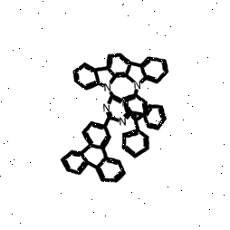 c1ccc(-c2ccc(-n3c4ccccc4c4ccc5c6ccccc6n(-c6nc(-c7ccccc7)nc(-c7ccc8c9ccccc9c9ccccc9c8c7)n6)c5c43)cc2)cc1